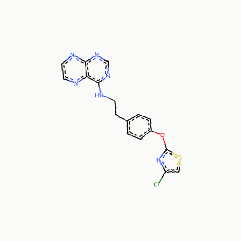 Clc1csc(Oc2ccc(CCNc3ncnc4nccnc34)cc2)n1